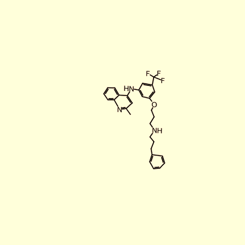 Cc1cc(Nc2cc(OCCCNCCCc3ccccc3)cc(C(F)(F)F)c2)c2ccccc2n1